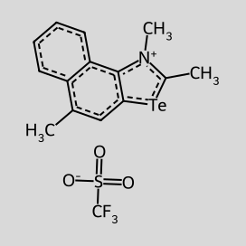 Cc1cc2[te]c(C)[n+](C)c2c2ccccc12.O=S(=O)([O-])C(F)(F)F